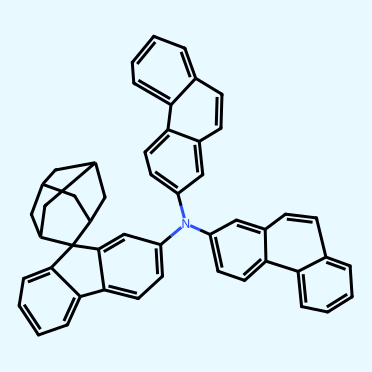 c1ccc2c(c1)-c1ccc(N(c3ccc4c(ccc5ccccc54)c3)c3ccc4c(ccc5ccccc54)c3)cc1C21C2CC3CC(C2)CC1C3